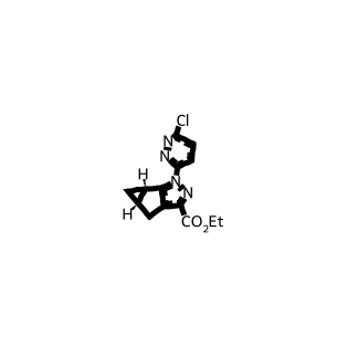 CCOC(=O)c1nn(-c2ccc(Cl)nn2)c2c1C[C@H]1C[C@@H]21